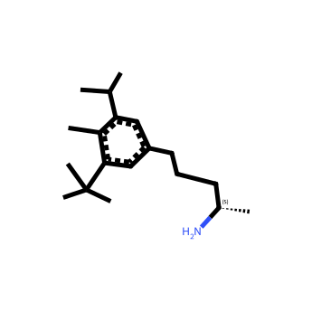 Cc1c(C(C)C)cc(CCC[C@H](C)N)cc1C(C)(C)C